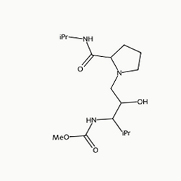 COC(=O)NC(C(C)C)C(O)CN1CCCC1C(=O)NC(C)C